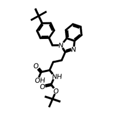 CC(C)(C)OC(=O)NC(CCc1nc2ccccc2n1Cc1ccc(C(C)(C)C)cc1)C(=O)O